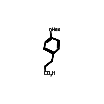 CCCCCCc1ccc(CCC(=O)O)cc1